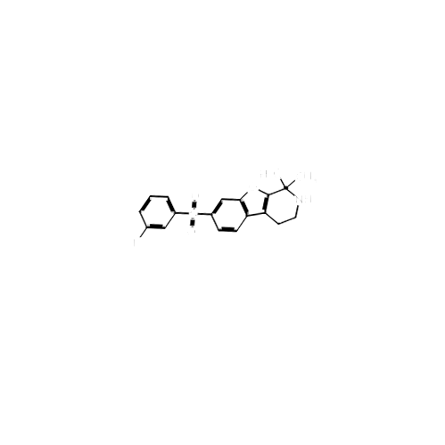 CC1(C)NCCc2c1oc1cc(S(=O)(=O)c3cccc(F)c3)ccc21